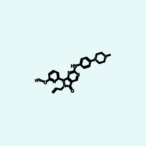 C=CCn1c(=O)c2cnc(Nc3ccc(N4CCN(C)CC4)cc3)nc2n1-c1cccc(OCCC)n1